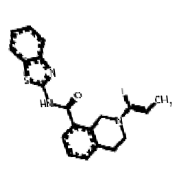 C/C=C(\I)N1CCc2cccc(C(=O)Nc3nc4ccccc4s3)c2C1